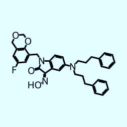 O=C1/C(=N\O)c2cc(N(CCCc3ccccc3)CCCc3ccccc3)ccc2N1Cc1cc(F)cc2c1OCOC2